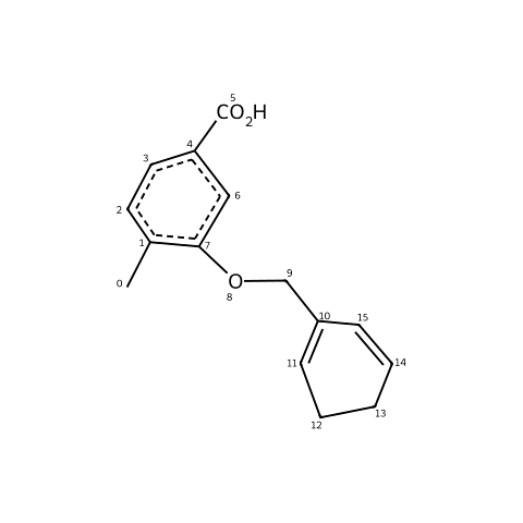 Cc1ccc(C(=O)O)cc1OCC1=CCCC=C1